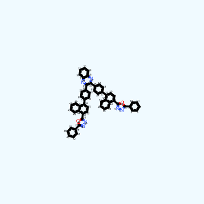 c1ccc(-c2nnc(-c3ccc(-c4ccc(-c5nc6ccccc6nc5-c5ccc(-c6ccc(-c7nnc(-c8ccccc8)o7)c7ccccc67)cc5)cc4)c4ccccc34)o2)cc1